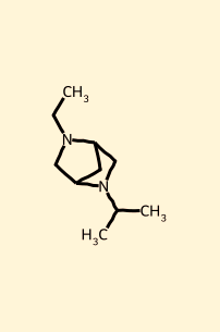 CCN1CC2CC1CN2C(C)C